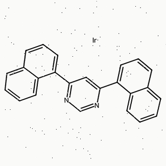 [Ir].c1ccc2c(-c3cc(-c4cccc5ccccc45)ncn3)cccc2c1